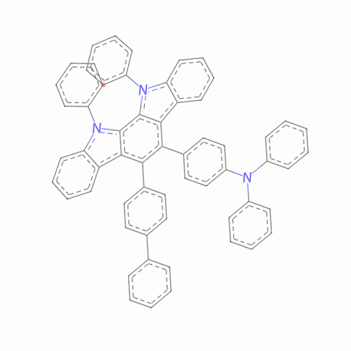 c1ccc(-c2ccc(-c3c(-c4ccc(N(c5ccccc5)c5ccccc5)cc4)c4c5ccccc5n(-c5ccccc5)c4c4c3c3ccccc3n4-c3ccccc3)cc2)cc1